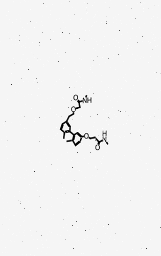 CNC(=O)CCOc1ccc(C)c(-c2cc(CCOCC(=O)NC)ccc2C)c1